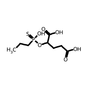 CCCP(O)(=S)OC(CCC(=O)O)C(=O)O